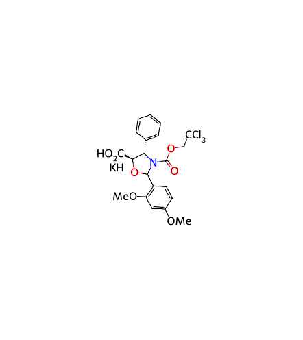 COc1ccc(C2O[C@@H](C(=O)O)[C@H](c3ccccc3)N2C(=O)OCC(Cl)(Cl)Cl)c(OC)c1.[KH]